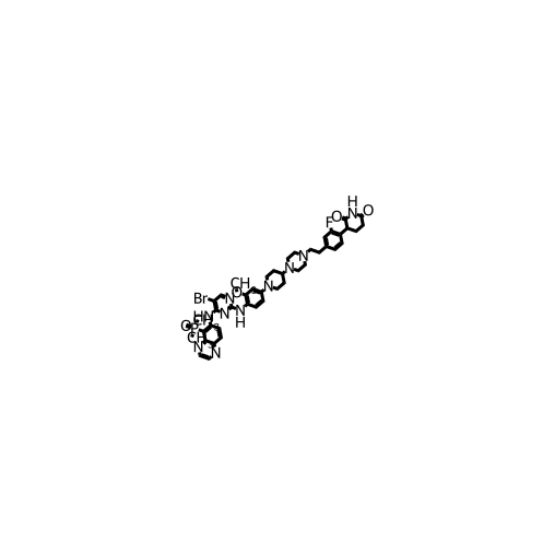 COc1cc(N2CCC(N3CCN(CCc4ccc(C5CCC(=O)NC5=O)c(F)c4)CC3)CC2)ccc1Nc1ncc(Br)c(Nc2ccc3nccnc3c2P(C)(C)=O)n1